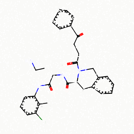 NCC[C@H](NC(=O)[C@@H]1Cc2ccccc2CN1C(=O)CCC(=O)c1ccccc1)C(=O)Nc1cccc(Cl)c1C(F)(F)F